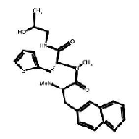 CN[C@H](Cc1ccc2ccccc2c1)C(=O)N(C)[C@H](Cc1cccs1)C(=O)NC[C@H](C)O